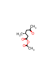 CC(=O)C[C@H](C)CC(=O)OC(C)=O